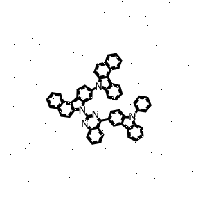 c1ccc(-n2c3ccccc3c3cc(-c4nc(-n5c6cc(-n7c8ccccc8c8c9ccccc9ccc87)ccc6c6c7ccccc7ccc65)nc5ccccc45)ccc32)cc1